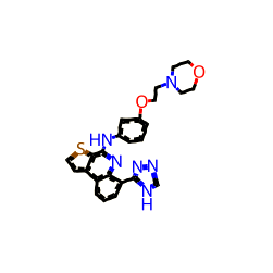 c1cc(Nc2nc3c(-c4nnc[nH]4)cccc3c3ccsc23)cc(OCCN2CCOCC2)c1